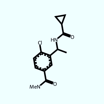 CNC(=O)c1ccc(Cl)c(C(C)NC(=O)C2CC2)c1